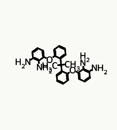 CC(C)(c1ccccc1Oc1cccc(N)c1N)c1ccccc1Oc1cccc(N)c1N